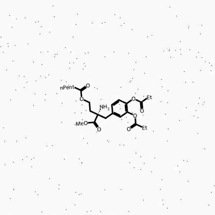 CCCCCC(=O)OCC[C@@](N)(Cc1ccc(OC(=O)CC)c(OC(=O)CC)c1)C(=O)OC